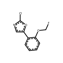 FCOc1ccccc1-c1cnc(Cl)o1